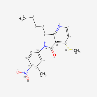 CCCCCc1nccc(SC)c1C(=O)Nc1ccc([N+](=O)[O-])c(C)c1